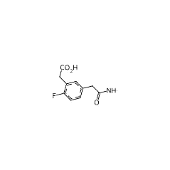 [NH]C(=O)Cc1ccc(F)c(CC(=O)O)c1